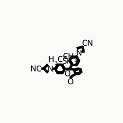 C[Si]1(C)c2cc(N3CC(C#N)C3)ccc2C2(OC(=O)c3ccccc32)c2ccc(N3CC(C#N)C3)cc21